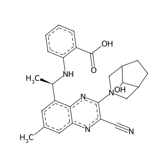 Cc1cc([C@@H](C)Nc2ccccc2C(=O)O)c2nc(N3CC4CCC(C3)C4O)c(C#N)nc2c1